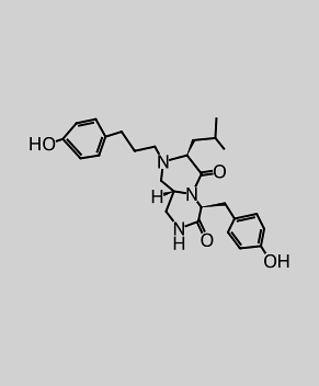 CC(C)C[C@H]1C(=O)N2[C@H](CNC(=O)[C@@H]2Cc2ccc(O)cc2)CN1CCCc1ccc(O)cc1